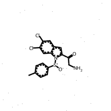 Cc1ccc([S+]([O-])n2c(C(=O)CN)cc3cc(Cl)c(Cl)cc32)cc1